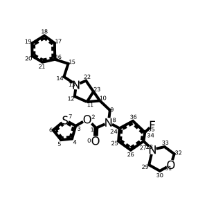 O=C(Oc1cccs1)N(CC1C2CN(CCc3ccccc3)CC21)c1ccc(N2CCOCC2)c(F)c1